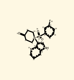 O=C1CC[N+](c2c[nH]c3cccnc23)(S(=O)(=O)c2cccc(F)c2)CC1